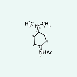 CC(=O)N[C@H]1CC[C@@H](N(C)C)CC1